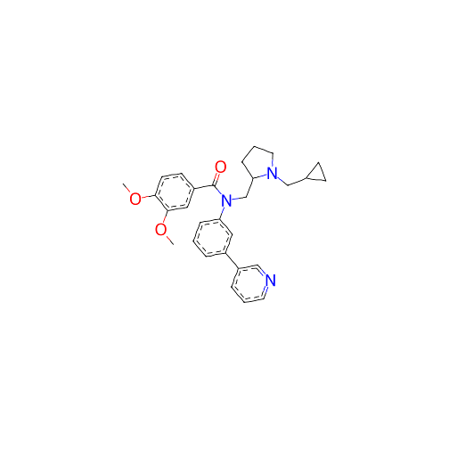 COc1ccc(C(=O)N(CC2CCCN2CC2CC2)c2cccc(-c3cccnc3)c2)cc1OC